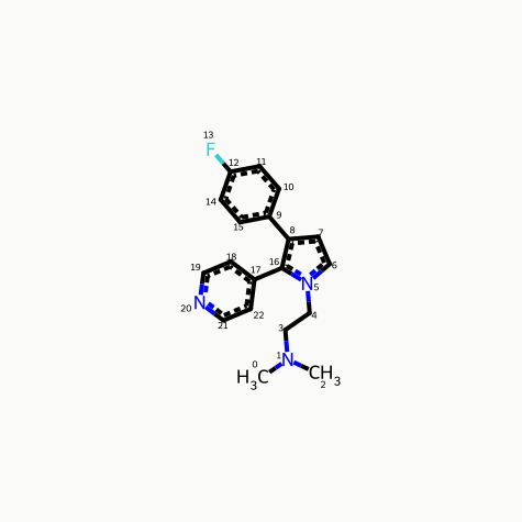 CN(C)CCn1ccc(-c2ccc(F)cc2)c1-c1ccncc1